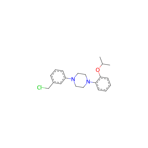 CC(C)Oc1ccccc1N1CCN(c2cccc(CCl)c2)CC1